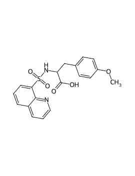 COc1ccc(CC(NS(=O)(=O)c2cccc3cccnc23)C(=O)O)cc1